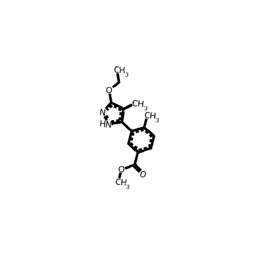 CCOc1n[nH]c(-c2cc(C(=O)OC)ccc2C)c1C